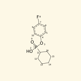 O=P(O)(Oc1ccc(F)cc1)C1CCCCC1